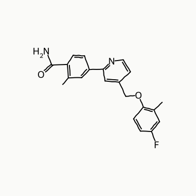 Cc1cc(F)ccc1OCc1ccnc(-c2ccc(C(N)=O)c(C)c2)c1